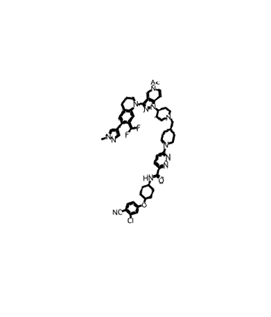 CC(=O)N1CCc2c(c(N3CCCc4cc(-c5cnn(C)c5)c(C(F)F)cc43)nn2C2CCN(CC3CCN(c4ccc(C(=O)NC5CCC(Oc6ccc(C#N)c(Cl)c6)CC5)nn4)CC3)CC2)C1